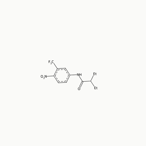 CCC(CC)C(=O)Nc1ccc([N+](=O)[O-])c(C(F)(F)F)c1